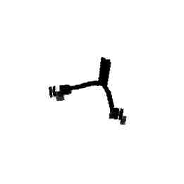 BC(B)=C